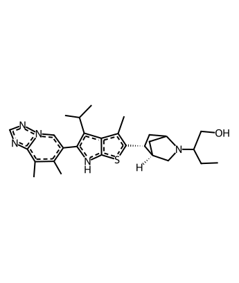 CCC(CO)N1C[C@@H]2CC1C[C@H]2c1sc2[nH]c(-c3cn4ncnc4c(C)c3C)c(C(C)C)c2c1C